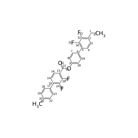 CCc1ccc(-c2ccc(OC(=O)c3ccc(-c4ccc(C)cc4)c(F)c3F)cc2)c(F)c1F